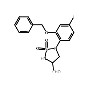 O=CC1CN(c2ccc(I)cc2OCc2ccccc2)S(=O)(=O)N1